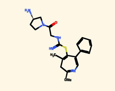 COC1=NC=C(c2ccccc2)C(SC(=N)NCC(=O)N2CC[C@H](N)C2)=C(C)C1